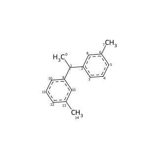 C[C](c1cccc(C)c1)c1cccc(C)c1